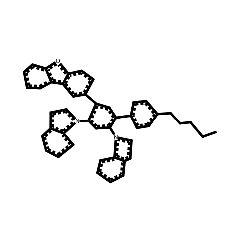 CCCCCc1ccc(-c2cc(-c3ccc4oc5ccccc5c4c3)c(-n3ccc4ccccc43)cc2-n2ccc3ccccc32)cc1